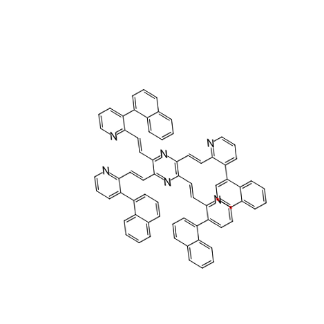 C(=Cc1nc(C=Cc2ncccc2-c2cccc3ccccc23)c(C=Cc2ncccc2-c2cccc3ccccc23)nc1C=Cc1ncccc1-c1cccc2ccccc12)c1ncccc1-c1cccc2ccccc12